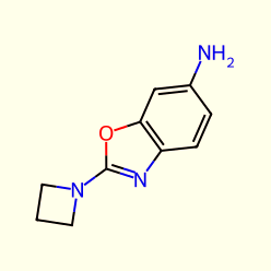 Nc1ccc2nc(N3CCC3)oc2c1